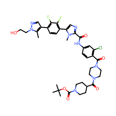 Cc1c(-c2ccc(-c3cnc(C(=O)Nc4ccc(C(=O)N5CCN(C(=O)C6CCN(C(=O)OC(C)(C)C)CC6)CC5)c(Cl)c4)n3C)c(F)c2F)cnn1CCO